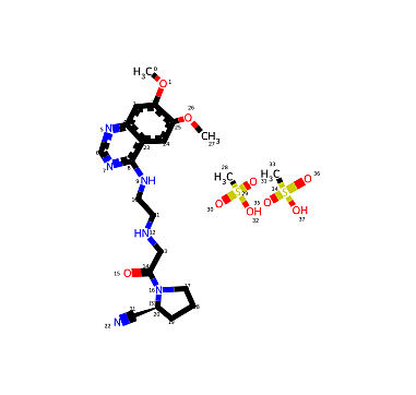 COc1cc2ncnc(NCCNCC(=O)N3CCC[C@H]3C#N)c2cc1OC.CS(=O)(=O)O.CS(=O)(=O)O